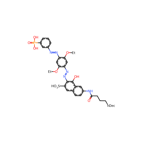 CCCCCCCCCCCCCC(=O)Nc1ccc2cc(S(=O)(=O)O)c(/N=N/c3cc(OCC)c(/N=N/c4cccc(P(=O)(O)O)c4)cc3OCC)c(O)c2c1